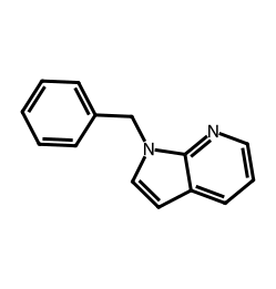 c1ccc(Cn2ccc3cccnc32)cc1